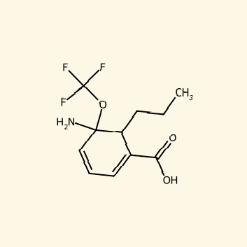 CCCC1C(C(=O)O)=CC=CC1(N)OC(F)(F)F